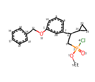 CCOP(=O)(Cl)CC(c1cccc(OCc2ccccc2)c1)C1CC1